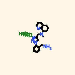 CN(Cc1cn(-c2ccccc2CN)nn1)C1CCCc2cccnc21.Cl.Cl.Cl.Cl